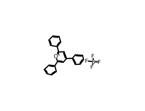 F[B-](F)(F)F.c1ccc(-c2cc(-c3ccccc3)[o+]c(-c3ccccc3)c2)cc1